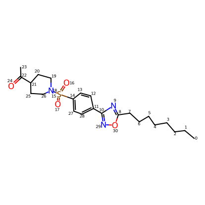 CCCCCCCCc1nc(-c2ccc(S(=O)(=O)N3CCC(C(C)=O)CC3)cc2)no1